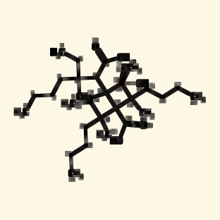 CCCCC(C)(CC)C(C(=O)O)C(O)(C(=O)O)C(C(=O)O)(C(C)(CC)CCCC)C(C)(CC)CCCC